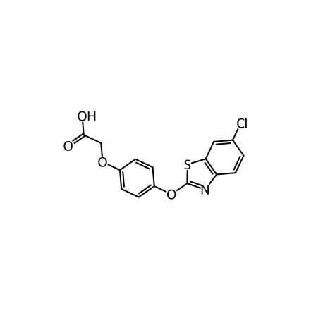 O=C(O)COc1ccc(Oc2nc3ccc(Cl)cc3s2)cc1